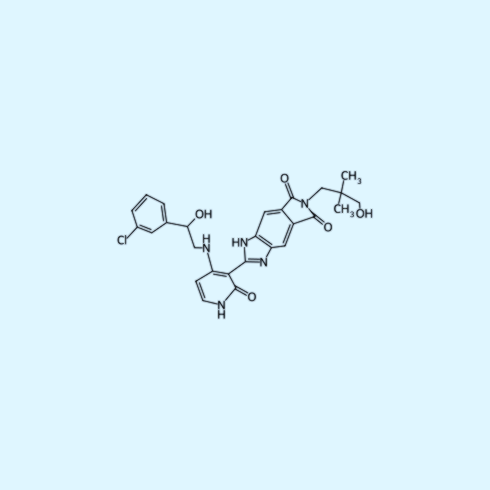 CC(C)(CO)CN1C(=O)c2cc3nc(-c4c(NCC(O)c5cccc(Cl)c5)cc[nH]c4=O)[nH]c3cc2C1=O